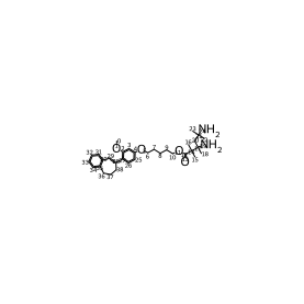 COc1cc(OCCCCCOC(=O)C(C)(C)C(C)(N)CC(C)(C)N)ccc1C1=Cc2ccccc2CCC1